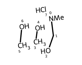 CNCO.CO.CO.Cl